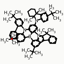 CC(C)(C)c1ccc(N2c3cc(C(C)(C)C)ccc3B3c4c2cc(N2c5ccc(C(C)(C)C)cc5C5(C)CCCCC25C)cc4-n2c4c(c5cc(C(C)(C)C)cc3c52)-c2ccccc2C4(C)C)c(-c2ccccc2)c1